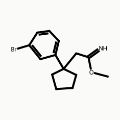 COC(=N)CC1(c2cccc(Br)c2)CCCC1